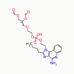 CCCCc1nc2c(N)nc3ccccc3c2n1CCOP(=O)(O)OCCOC[C@@H](COC=O)OC=O